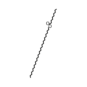 CCCCCCCCCCCCCCCCCCCCCCCCCCCCCCOC(=O)CCCCCCCCC